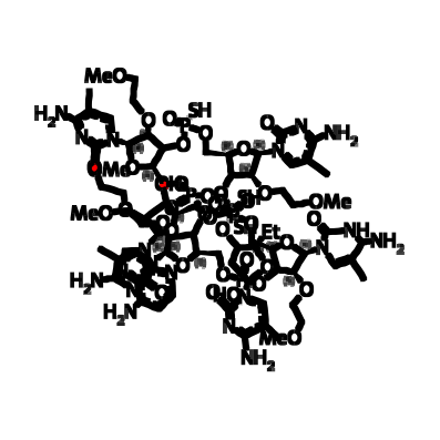 CC[C@H]1O[C@@H](n2cc(C)c(N)nc2=O)CC1OP(=O)(S)OC[C@H]1O[C@@H](N2C=C(C)C(N)NC2=O)[C@@H](OCCOC)C1OP(=O)(O)OC[C@H]1O[C@@H](n2cc(C)c(N)nc2=O)[C@@H](OCCOC)C1OP(=O)(O)OC[C@H]1O[C@@H](n2cc(C)c(N)nc2=O)[C@@H](OCCOC)C1OP(=O)(S)OC[C@H]1O[C@@H](n2cc(C)c(N)nc2=O)[C@@H](OCCOC)C1OP(=O)(S)OC[C@H]1O[C@@H](n2cnc3c(N)ccnc32)[C@@H](OCCOC)C1O